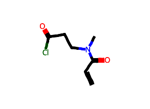 C=CC(=O)N(C)CCC(=O)Cl